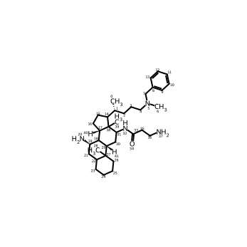 C[C@H](CCCN(C)Cc1ccccc1)C1CC[C@H]2C3[C@H](N)CC4CCCCC4(C)[C@H]3CC(NC(=O)CCN)C12C